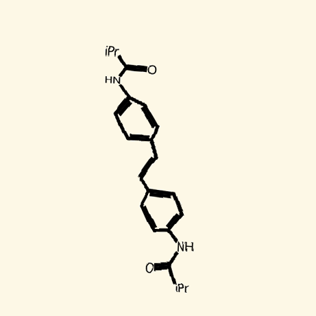 CC(C)C(=O)Nc1ccc(C=Cc2ccc(NC(=O)C(C)C)cc2)cc1